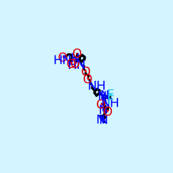 Cn1cc(-c2nc(C(=O)Nc3cn(-c4ccc(CNCCOCCOCCNc5cccc6c5C(=O)N(C5CCC(=O)NC5=O)C6=O)cc4)nc3C(F)F)co2)cn1